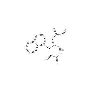 C=CC(=C)/C=C\C1=C(C(=C)C=C)c2ccc3ccccc3c2C1